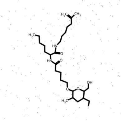 C=C(C)CCCCCNC(=O)C(CCCCC)NC(=O)CCCCOC1OC(CO)C(CI)CC1C